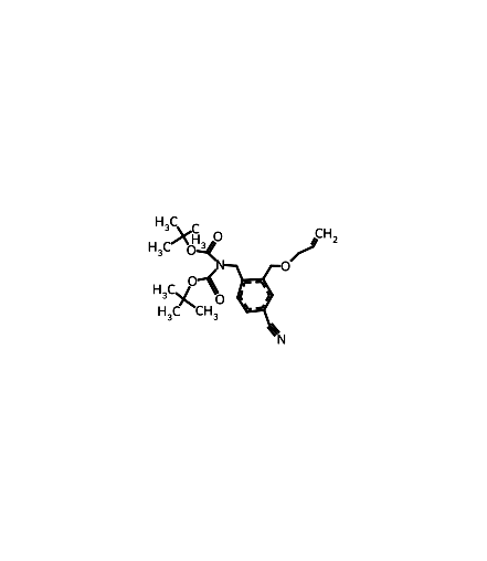 C=CCOCc1cc(C#N)ccc1CN(C(=O)OC(C)(C)C)C(=O)OC(C)(C)C